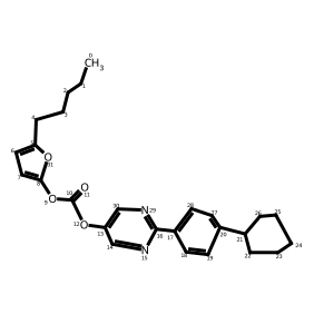 CCCCCc1ccc(OC(=O)Oc2cnc(-c3ccc(C4CCCCC4)cc3)nc2)o1